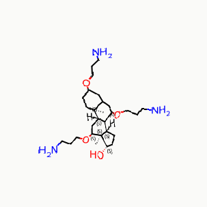 C[C@]12[C@@H](OCCCN)C[C@H]3C([C@H](OCCCN)CC4CC(OCCCN)CC[C@@]43C)[C@@H]1CC[C@@H]2O